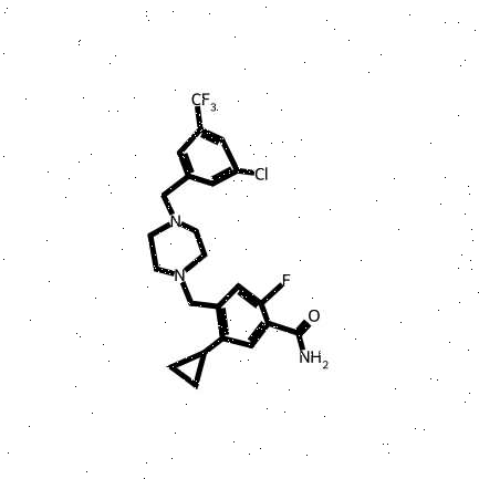 NC(=O)c1cc(C2CC2)c(CN2CCN(Cc3cc(Cl)cc(C(F)(F)F)c3)CC2)cc1F